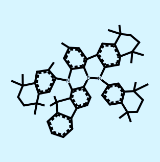 Cc1cc2c3c(c1)N(c1cc4c(cc1C)C(C)(C)CCC4(C)C)c1c(ccc4c1C(C)(C)c1ccccc1-4)B3N(c1ccc3c(c1)C(C)(C)CCC3(C)C)c1cc3c(cc1-2)C(C)(C)CCC3(C)C